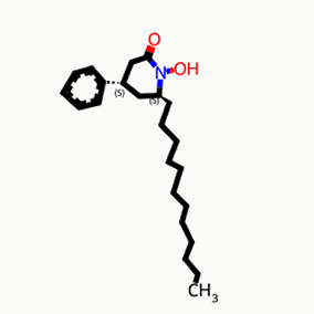 CCCCCCCCCCCC[C@H]1C[C@H](c2ccccc2)CC(=O)N1O